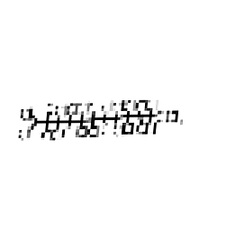 Cl[C](Cl)C(Cl)(Cl)C(Cl)(Cl)C(Cl)(Cl)C(Cl)(Cl)C(Cl)(Cl)C(Cl)(Cl)C(Cl)(Cl)C(Cl)(Cl)C(Cl)(Cl)C(Cl)(Cl)C(Cl)(Cl)Cl